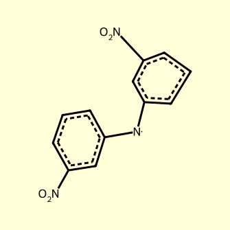 O=[N+]([O-])c1cccc([N]c2cccc([N+](=O)[O-])c2)c1